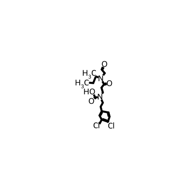 CCC(C)N(CC=O)C(=O)CCN(CCc1ccc(Cl)c(Cl)c1)C(=O)O